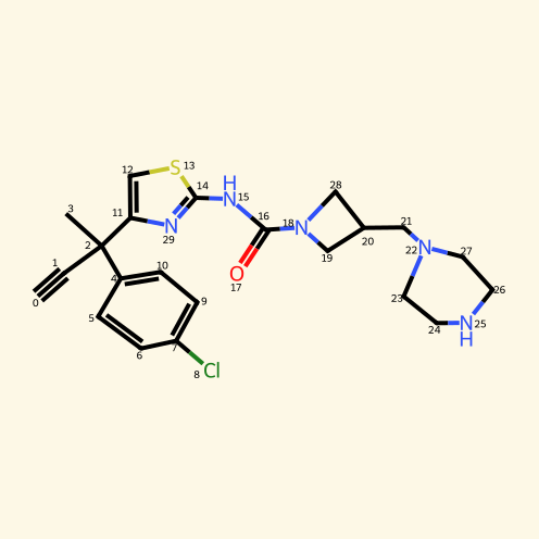 C#CC(C)(c1ccc(Cl)cc1)c1csc(NC(=O)N2CC(CN3CCNCC3)C2)n1